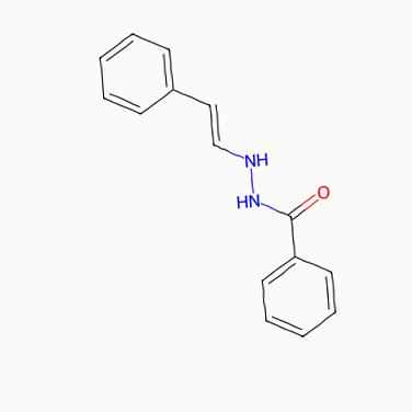 O=C(NNC=Cc1ccccc1)c1ccccc1